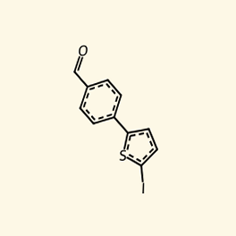 O=Cc1ccc(-c2ccc(I)s2)cc1